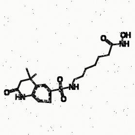 CC1(C)CC(=O)Nc2ccc(S(=O)(=O)NCCCCCCC(=O)NO)cc21